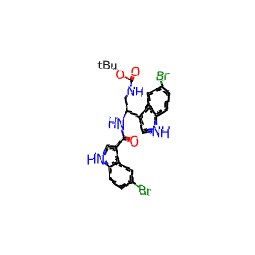 CC(C)(C)OC(=O)NCC(NC(=O)c1c[nH]c2ccc(Br)cc12)c1c[nH]c2ccc(Br)cc12